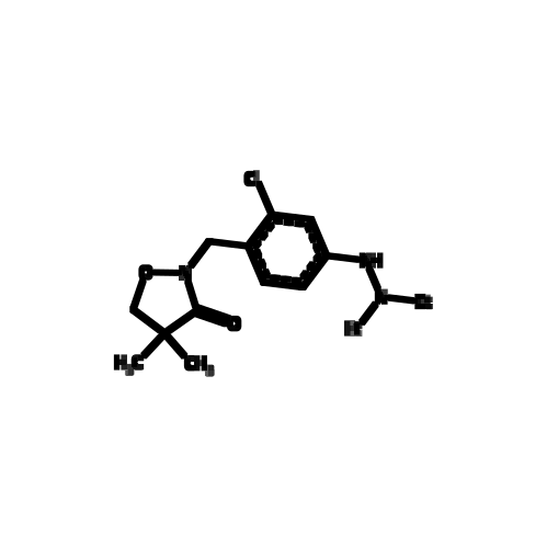 CCN(CC)Nc1ccc(CN2OCC(C)(C)C2=O)c(Cl)c1